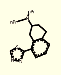 CCCN(CCC)C1CCc2cccc(-c3nncs3)c2C1